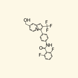 O=C(Nc1ccc(-c2c(C(F)(F)F)cc3cc(CO)ccn23)cc1)c1c(F)cccc1F